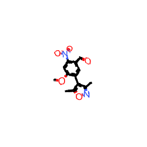 COc1cc([N+](=O)[O-])c(C=O)cc1-c1c(C)noc1C